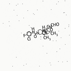 Cc1c2c(nn1CC(C)(C)ON(C)C=O)CCN(C(=O)Nc1ccc(F)c(Cl)c1)C2